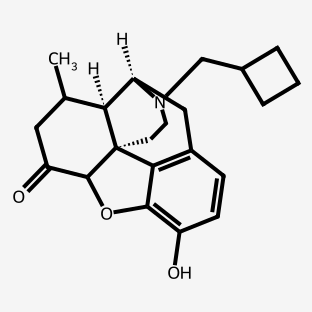 CC1CC(=O)C2Oc3c(O)ccc4c3[C@@]23CCN(CC2CCC2)[C@H](C4)[C@H]13